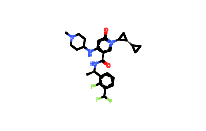 C[C@@H](NC(=O)c1cn([C@H]2C[C@@H]2C2CC2)c(=O)cc1NC1CCN(C)CC1)c1cccc(C(F)F)c1F